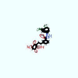 O=C1C=C(O)C(=O)C(CCc2cccc(C(=O)Nc3ccc(Cl)c(Cl)c3)c2)=C1O